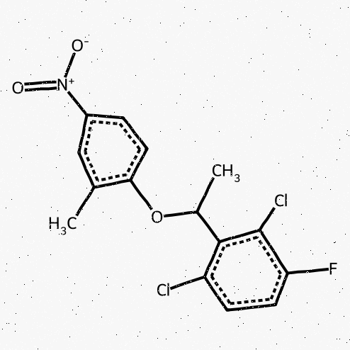 Cc1cc([N+](=O)[O-])ccc1OC(C)c1c(Cl)ccc(F)c1Cl